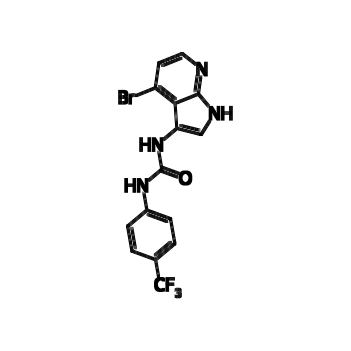 O=C(Nc1ccc(C(F)(F)F)cc1)Nc1c[nH]c2nccc(Br)c12